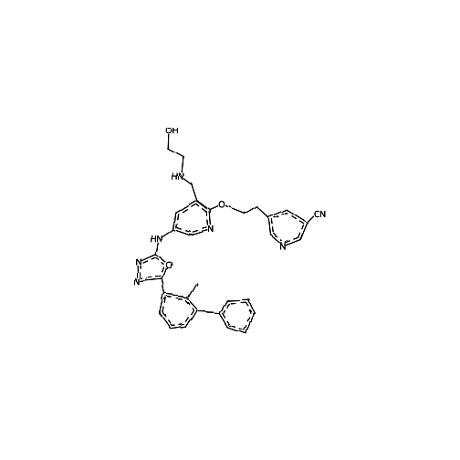 Cc1c(-c2ccccc2)cccc1-c1nnc(Nc2cnc(OCCc3cncc(C#N)c3)c(CNCCO)c2)o1